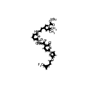 CC(C)(C)OC(=O)N1CC(CCNc2cccc(S(=O)(=O)NC(=O)c3ccc(-n4ccc(OCCC5CC5C(F)(F)F)n4)nc3Cl)n2)CC1(C)C